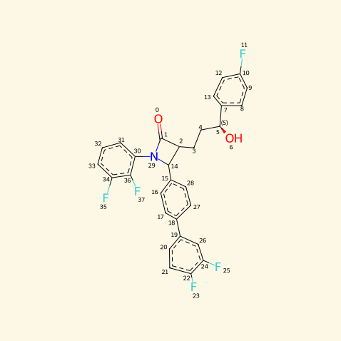 O=C1C(CC[C@H](O)c2ccc(F)cc2)C(c2ccc(-c3ccc(F)c(F)c3)cc2)N1c1cccc(F)c1F